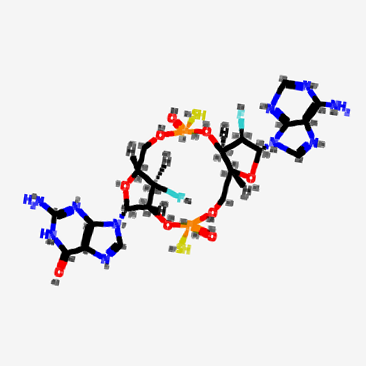 Nc1nc2c(ncn2[C@@H]2O[C@@H]3CO[P@@](=O)(S)O[C@H]4[C@@H](F)[C@H](n5cnc6c(N)ncnc65)O[C@@H]4CO[P@@](=O)(S)O[C@@H]2[C@@H]3F)c(=O)[nH]1